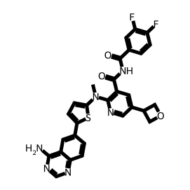 CN(c1ccc(-c2ccc3ncnc(N)c3c2)s1)c1ncc(C2COC2)cc1C(=O)NC(=O)c1ccc(F)c(F)c1